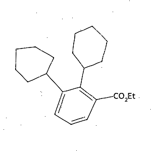 CCOC(=O)c1cccc(C2CCCCC2)c1C1CCCCC1